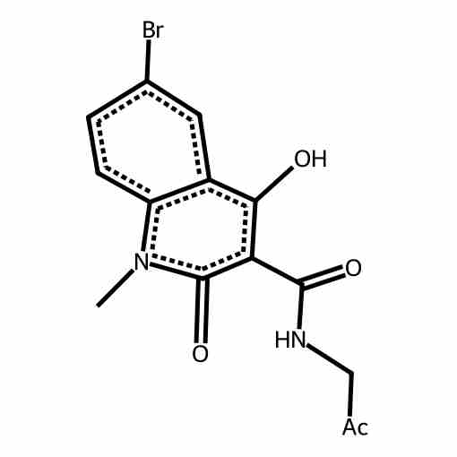 CC(=O)CNC(=O)c1c(O)c2cc(Br)ccc2n(C)c1=O